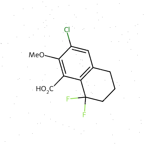 COc1c(Cl)cc2c(c1C(=O)O)C(F)(F)CCC2